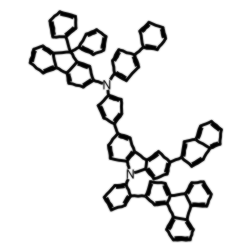 c1ccc(-c2ccc(N(c3ccc(-c4ccc5c(c4)c4cc(-c6ccc7ccccc7c6)ccc4n5-c4ccccc4-c4ccc5c6ccccc6c6ccccc6c5c4)cc3)c3ccc4c(c3)C(c3ccccc3)(c3ccccc3)c3ccccc3-4)cc2)cc1